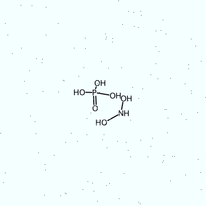 O=P(O)(O)O.ONO